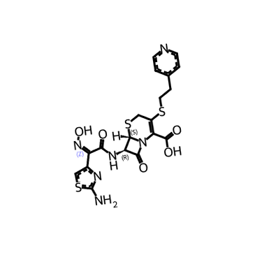 Nc1nc(/C(=N/O)C(=O)N[C@@H]2C(=O)N3C(C(=O)O)=C(SCCc4ccncc4)CS[C@@H]23)cs1